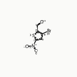 O=Cc1sc([N+](=O)[O-])cc1Br